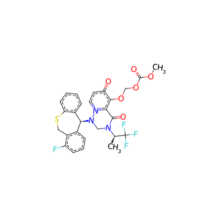 COC(=O)OCOc1c2n(ccc1=O)N([C@@H]1c3ccccc3SCc3c(F)cccc31)CN([C@H](C)C(F)(F)F)C2=O